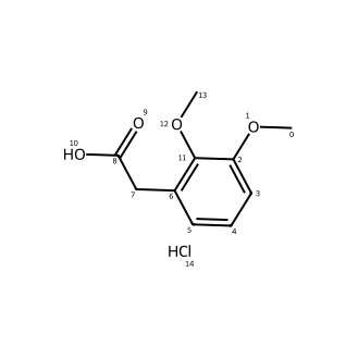 COc1cccc(CC(=O)O)c1OC.Cl